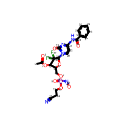 CC(=O)OC1C(COP(=O)(N=O)OCCC#N)OC(n2ccc(NC(=O)c3ccccc3)nc2=O)C1(F)F